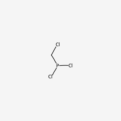 ClCP(Cl)Cl